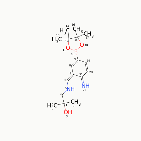 CC(C)(O)CN/C=C1/C=C(B2OC(C)(C)C(C)(C)O2)C=CC1=N